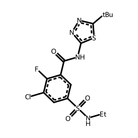 CCNS(=O)(=O)c1cc(Cl)c(F)c(C(=O)Nc2nnc(C(C)(C)C)s2)c1